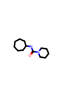 O=C([N]C1CCCCCC1)N1CCCCC1